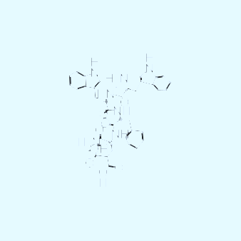 NC(=O)[C@H](CC(C(=O)O)C(=O)O)NC(=O)[C@@H](Cc1ccccc1)NC(=O)[C@@H](Cc1c[nH]c2ccccc12)NC(=O)[C@H](N)Cc1c[nH]c2ccccc12